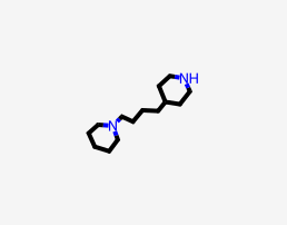 C1CCN(CCCCC2CCNCC2)CC1